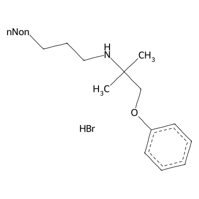 Br.CCCCCCCCCCCCNC(C)(C)COc1ccccc1